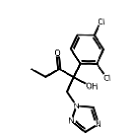 CCC(=O)C(O)(Cn1cncn1)c1ccc(Cl)cc1Cl